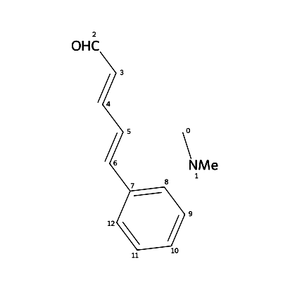 CNC.O=CC=CC=Cc1ccccc1